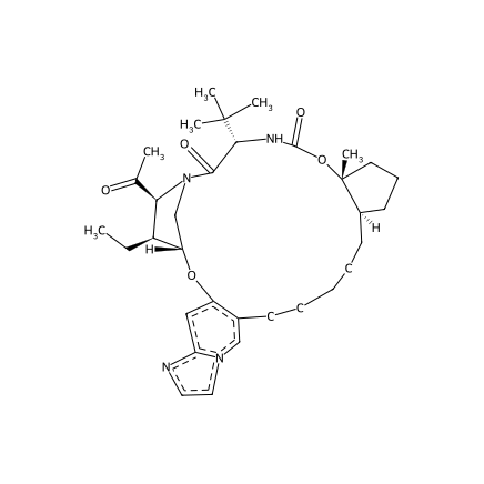 CC[C@@H]1[C@@H]2CN(C(=O)[C@H](C(C)(C)C)NC(=O)O[C@]3(C)CCC[C@H]3CCCCCc3cn4ccnc4cc3O2)[C@@H]1C(C)=O